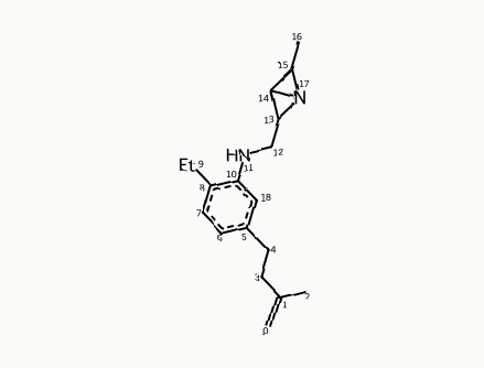 C=C(C)CCc1ccc(CC)c(NCC2C3C(C)N23)c1